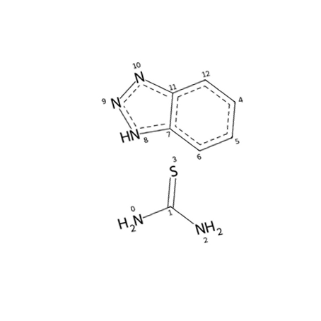 NC(N)=S.c1ccc2[nH]nnc2c1